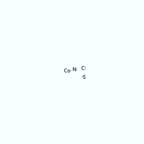 [C].[Co].[N].[S]